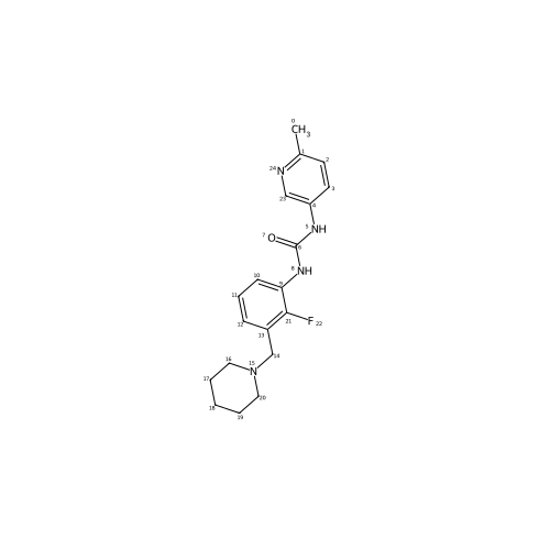 Cc1ccc(NC(=O)Nc2cccc(CN3CCCCC3)c2F)cn1